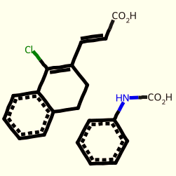 O=C(O)C=CC1=C(Cl)c2ccccc2CC1.O=C(O)Nc1ccccc1